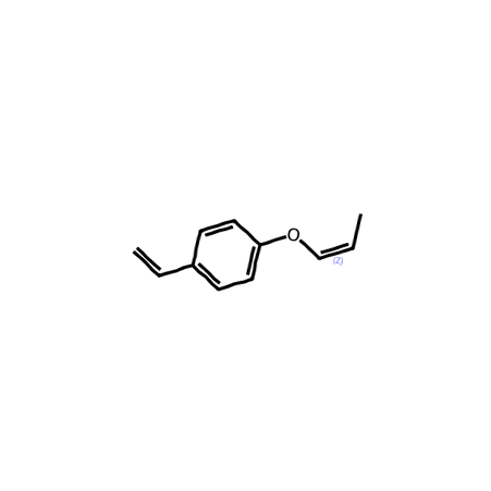 C=Cc1ccc(O/C=C\C)cc1